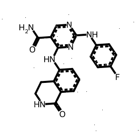 NC(=O)c1cnc(Nc2ccc(F)cc2)nc1Nc1cccc2c1CCNC2=O